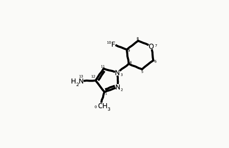 Cc1nn(C2CCOCC2F)cc1N